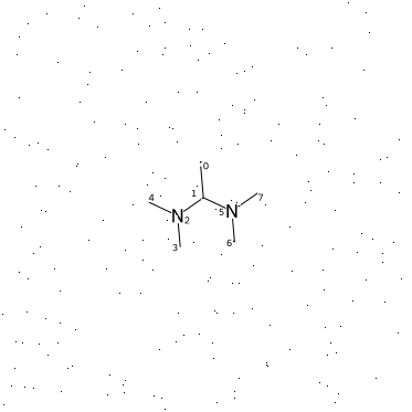 [CH2]C(N(C)C)N(C)C